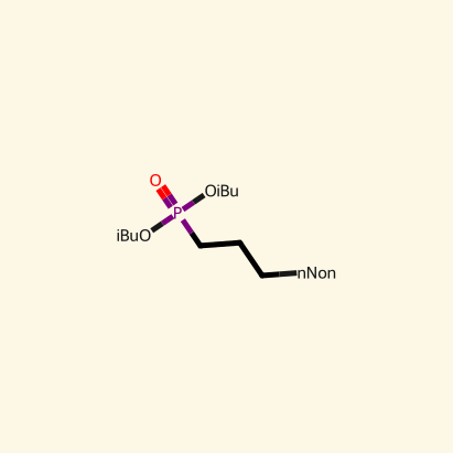 CCCCCCCCCCCCP(=O)(OCC(C)C)OCC(C)C